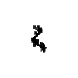 Nc1cn(CC(F)CCn2cc(C(=O)NCc3cc(C(F)(F)F)ccn3)nn2)nn1